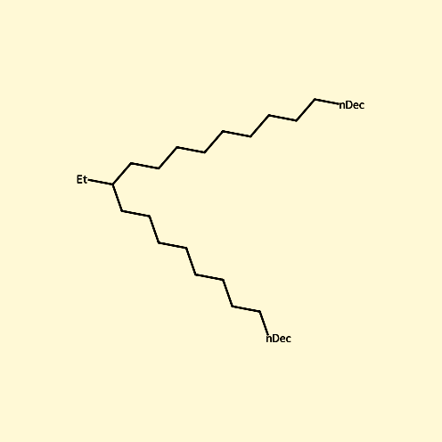 [CH2]CC(CCCCCCCCCCCCCCCCCC)CCCCCCCCCCCCCCCCCCC